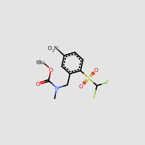 CN(Cc1cc([N+](=O)[O-])ccc1S(=O)(=O)C(F)F)C(=O)OC(C)(C)C